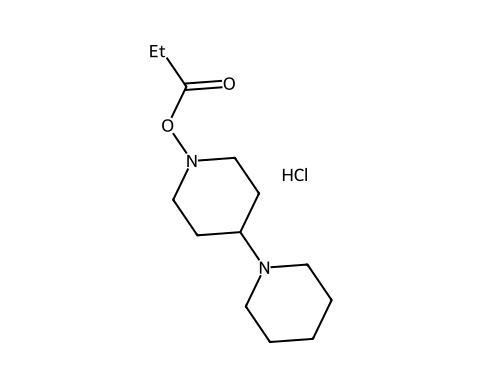 CCC(=O)ON1CCC(N2CCCCC2)CC1.Cl